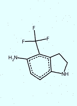 Nc1ccc2c(c1C(F)(F)F)CCN2